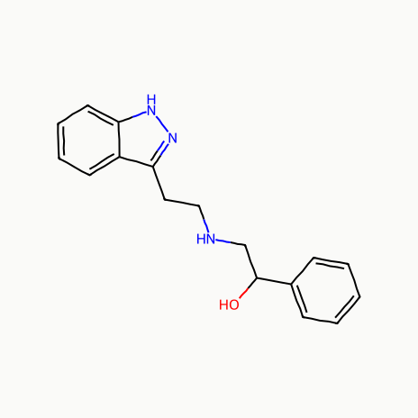 OC(CNCCc1n[nH]c2ccccc12)c1ccccc1